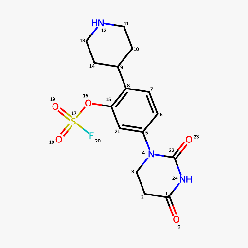 O=C1CCN(c2ccc(C3CCNCC3)c(OS(=O)(=O)F)c2)C(=O)N1